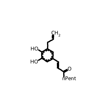 C=CCc1cc(/C=C/C(=O)CCCCC)cc(O)c1O